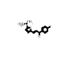 CN(C)c1ccc(/C=C/C(=O)c2ccc(I)cc2)s1